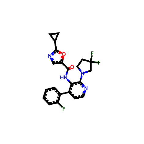 O=C(Nc1c(-c2ccccc2F)ccnc1N1CCC(F)(F)C1)c1cnc(C2CC2)o1